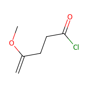 C=C(CCC(=O)Cl)OC